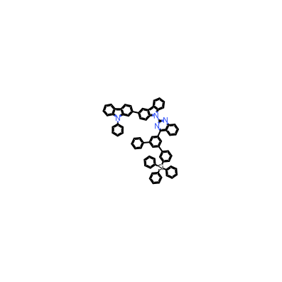 c1ccc(-c2cc(-c3cccc([Si](c4ccccc4)(c4ccccc4)c4ccccc4)c3)cc(-c3nc(-n4c5ccccc5c5cc(-c6ccc7c8ccccc8n(-c8ccccc8)c7c6)ccc54)nc4ccccc34)c2)cc1